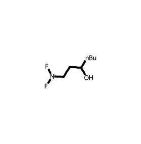 CCCCC(O)CCN(F)F